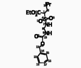 CCOC(=O)C(CC(C)C)S(=O)(=O)NCNC(=O)OCc1ccccc1